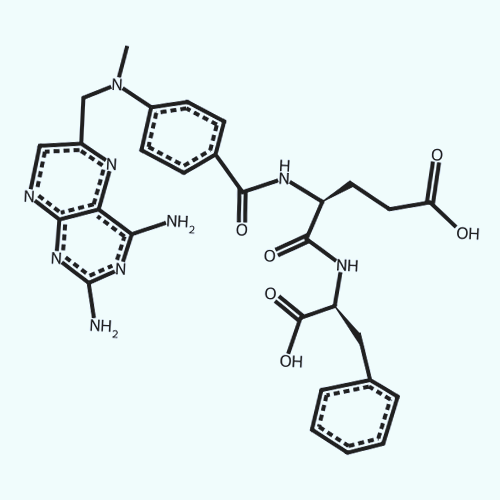 CN(Cc1cnc2nc(N)nc(N)c2n1)c1ccc(C(=O)N[C@@H](CCC(=O)O)C(=O)N[C@@H](Cc2ccccc2)C(=O)O)cc1